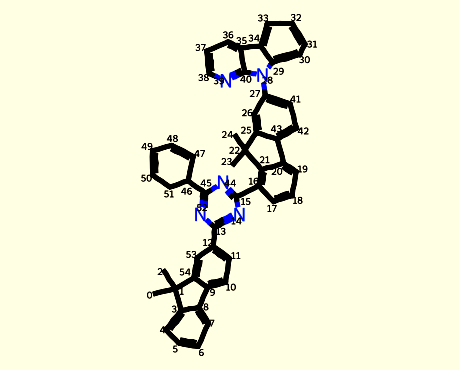 CC1(C)c2ccccc2-c2ccc(-c3nc(-c4cccc5c4C(C)(C)c4cc(-n6c7ccccc7c7cccnc76)ccc4-5)nc(C4C=CC=CC4)n3)cc21